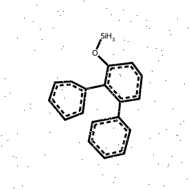 [SiH3]Oc1cccc(-c2ccccc2)c1-c1ccccc1